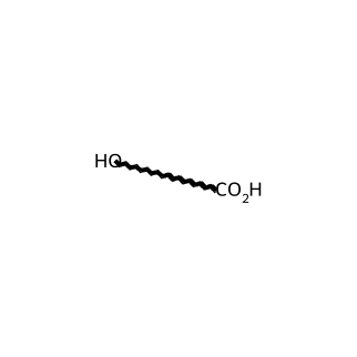 O=C(O)/C=C/C=C/C=C/C=C/C=C/CCCCCCCCCO